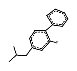 CC(C)Cc1ccc(-c2ccccc2)c(F)c1